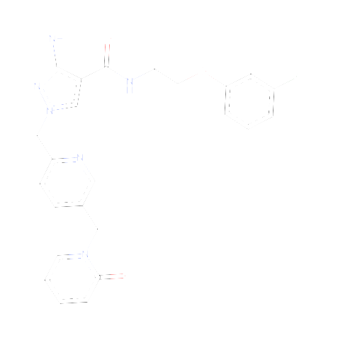 Nc1nn(Cc2ccc(Cn3ccccc3=O)cn2)cc1C(=O)NCCOc1cccc(Cl)c1